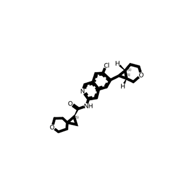 O=C(Nc1cc2cc(C3[C@H]4COCC[C@@H]34)c(Cl)cc2cn1)[C@H]1CC12CCOCC2